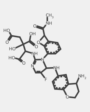 CNC(=O)C1Oc2c1cccc2N1C(NC(C(=O)O)C(O)(CC(=O)O)C(=O)O)=NC=C(F)C1Nc1ccc2c(c1)C(N)CCO2